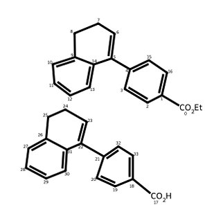 CCOC(=O)c1ccc(C2=CCCc3ccccc32)cc1.O=C(O)c1ccc(C2=CCCc3ccccc32)cc1